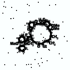 CCC1/C=C(\C)CC(C)CC(OC)C2OC(O)(C(=O)C(=O)N3CCCCC3C(=O)OC(C(C)=CC3(N(C)c4ccccn4)CCCC(OC)C3)C(C)CCC1=O)C(C)CC2OC